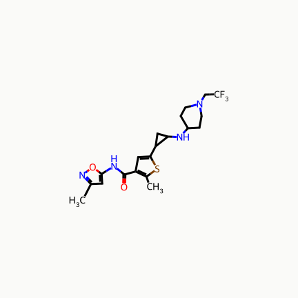 Cc1cc(NC(=O)c2cc(C3CC3NC3CCN(CC(F)(F)F)CC3)sc2C)on1